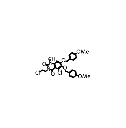 COc1ccc(COc2cc3c(c(Cl)c2OCc2ccc(OC)cc2)c(=O)n(CCCl)c(=O)n3C)cc1